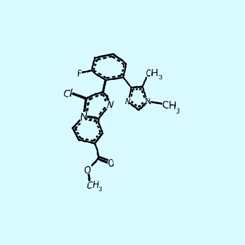 COC(=O)c1ccn2c(Cl)c(-c3c(F)cccc3-c3ncn(C)c3C)nc2c1